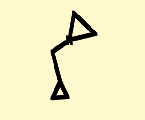 C1CC1CN1CC1